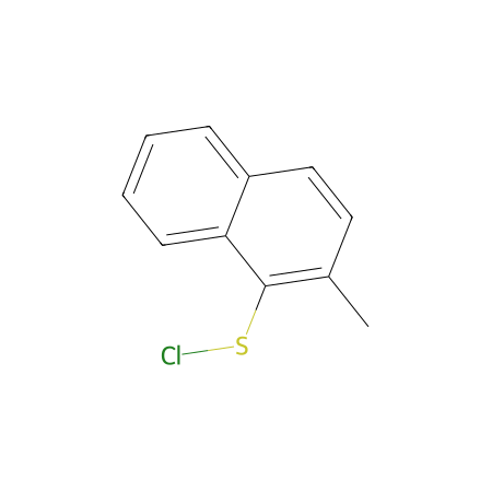 Cc1ccc2ccccc2c1SCl